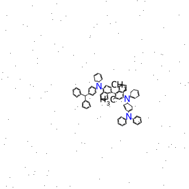 Cc1cc(N(C2=CC=CCC2)C2C=CC(N(c3ccccc3)c3ccccc3)=CC2)c2ccccc2c1-c1c(C)cc(N(c2ccc(C(c3ccccc3)c3ccccc3)cc2)C2C=CC=CC2)c2ccccc12